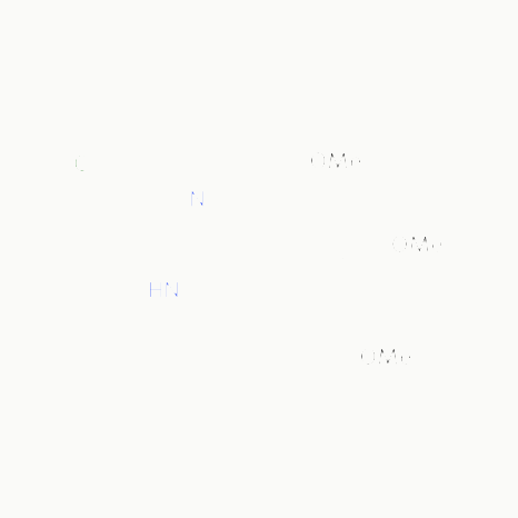 COc1cc2[nH]c(CCl)nc2c(OC)c1OC